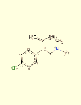 C=C(C(CN(C)C(C)C)c1ccc(Cl)cc1)C(C)(C)C